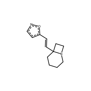 C(=CC12CCCCN1CC2)c1ccno1